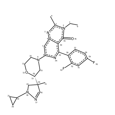 CCn1c(C)nc2cc(N3CCO[C@@H](C4(C)C=NN(C5CC5)C4)C3)nc(-c3ccc(F)cc3F)c2c1=O